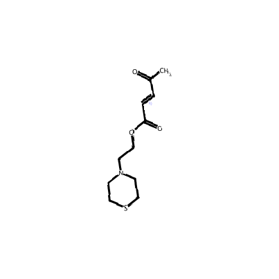 CC(=O)/C=C/C(=O)OCCN1CCSCC1